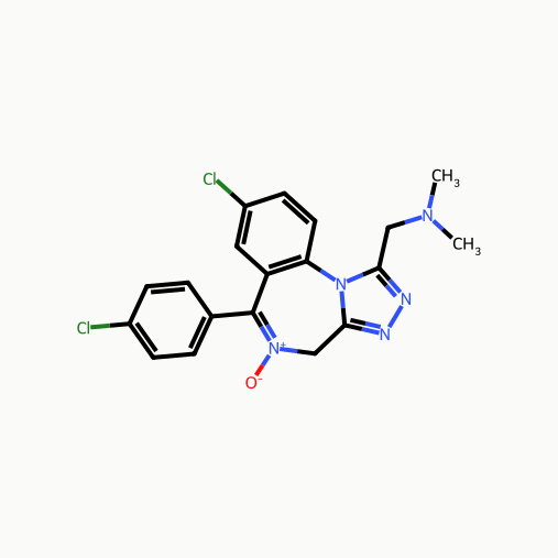 CN(C)Cc1nnc2n1-c1ccc(Cl)cc1C(c1ccc(Cl)cc1)=[N+]([O-])C2